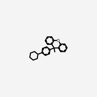 CC1(c2ccc(C3CCCCC3)cc2)c2ccccc2Oc2ccccc21